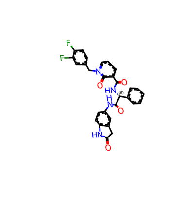 O=C1Cc2cc(NC(=O)[C@H](NC(=O)c3cccn(Cc4ccc(F)c(F)c4)c3=O)c3ccccc3)ccc2N1